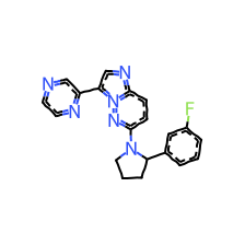 Fc1cccc(C2CCCN2c2ccc3ncc(-c4cnccn4)n3n2)c1